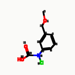 COCc1cccc(N(Cl)C(=O)O)c1